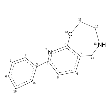 c1ccc(-c2ccc3c(n2)OCCNC3)cc1